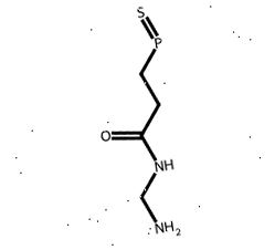 NCNC(=O)CCP=S